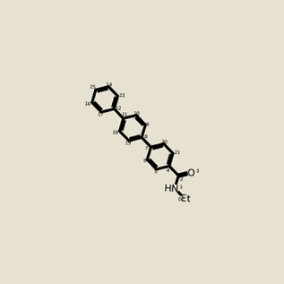 CCNC(=O)c1ccc(-c2ccc(-c3ccccc3)cc2)cc1